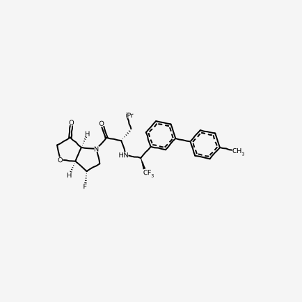 Cc1ccc(-c2cccc([C@H](N[C@@H](CC(C)C)C(=O)N3C[C@H](F)[C@H]4OCC(=O)[C@H]43)C(F)(F)F)c2)cc1